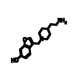 NCCC1CCN(Cc2coc3cc(O)ccc23)CC1